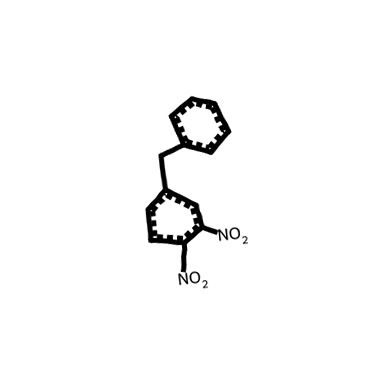 O=[N+]([O-])c1ccc(Cc2ccccc2)cc1[N+](=O)[O-]